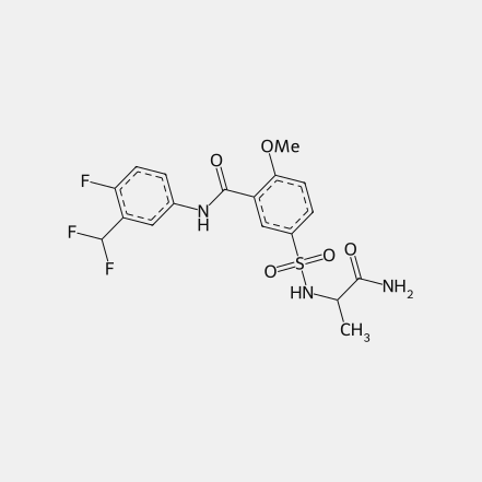 COc1ccc(S(=O)(=O)NC(C)C(N)=O)cc1C(=O)Nc1ccc(F)c(C(F)F)c1